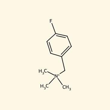 C[N+](C)(C)Cc1ccc(F)cc1